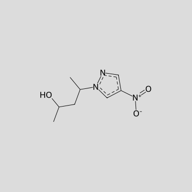 CC(O)CC(C)n1cc([N+](=O)[O-])cn1